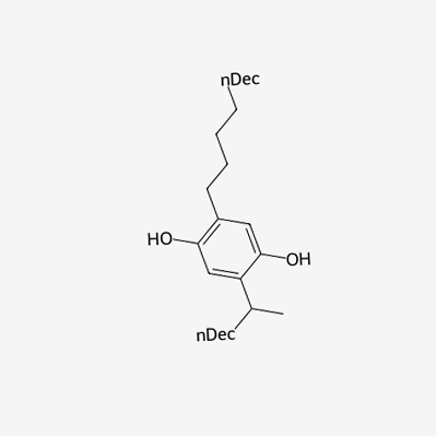 CCCCCCCCCCCCCCc1cc(O)c(C(C)CCCCCCCCCC)cc1O